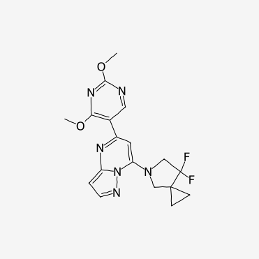 COc1ncc(-c2cc(N3CC(F)(F)C4(CC4)C3)n3nccc3n2)c(OC)n1